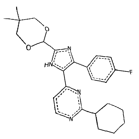 CC1(C)COC(c2nc(-c3ccc(F)cc3)c(-c3ccnc(C4CCCCC4)n3)[nH]2)OC1